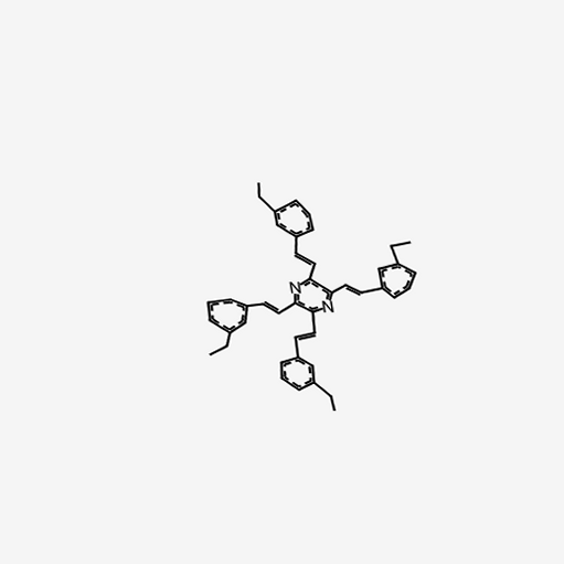 CCc1cccc(C=Cc2nc(C=Cc3cccc(CC)c3)c(C=Cc3cccc(CC)c3)nc2C=Cc2cccc(CC)c2)c1